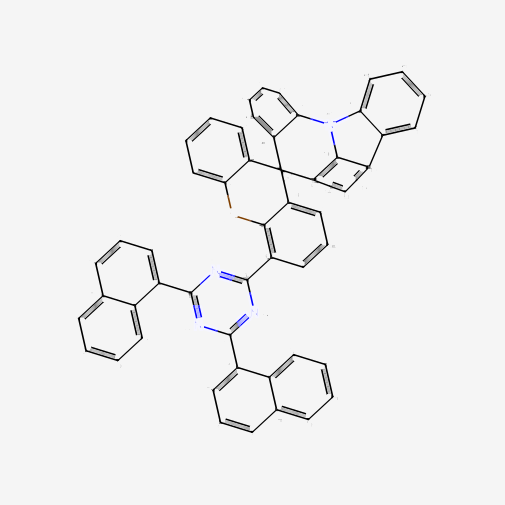 c1ccc2c(c1)Sc1c(-c3nc(-c4cccc5ccccc45)nc(-c4cccc5ccccc45)n3)cccc1C21c2ccccc2-n2c3ccccc3c3cccc1c32